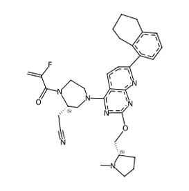 C=C(F)C(=O)N1CCN(c2nc(OC[C@@H]3CCCN3C)nc3nc(-c4cccc5c4CCCC5)ccc23)C[C@@H]1CC#N